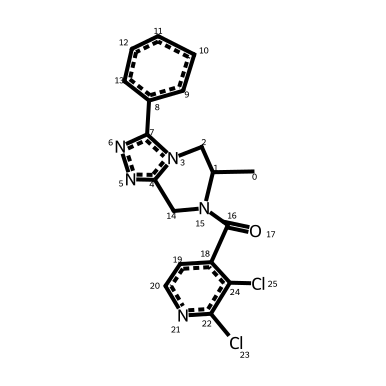 CC1Cn2c(nnc2-c2ccccc2)CN1C(=O)c1ccnc(Cl)c1Cl